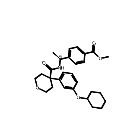 COC(=O)c1ccc([C@H](C)NC(=O)C2(c3cccc(OC4CCCCC4)c3)CCOCC2)cc1